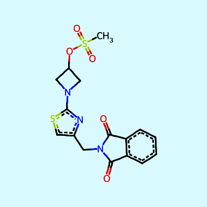 CS(=O)(=O)OC1CN(c2nc(CN3C(=O)c4ccccc4C3=O)cs2)C1